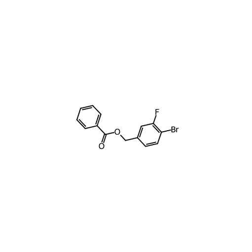 O=C(OCc1ccc(Br)c(F)c1)c1ccccc1